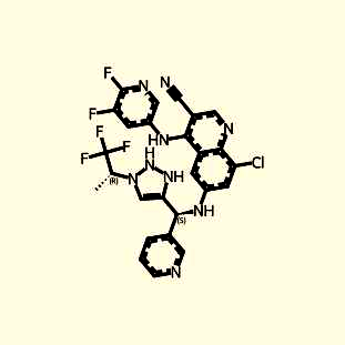 C[C@@H](N1C=C([C@@H](Nc2cc(Cl)c3ncc(C#N)c(Nc4cnc(F)c(F)c4)c3c2)c2cccnc2)NN1)C(F)(F)F